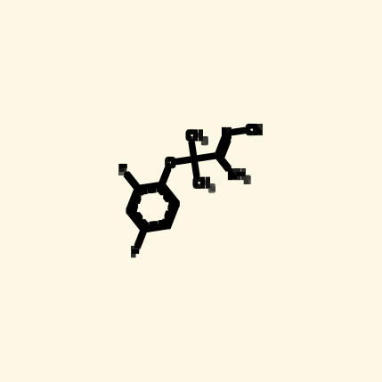 CC(C)(Oc1ccc(F)cc1F)C(N)=NC#N